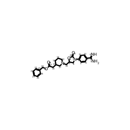 N=C(N)c1ccc(N2CC(CN3CCCC(CC(=O)OCc4ccccc4)C3)OC2=O)cc1